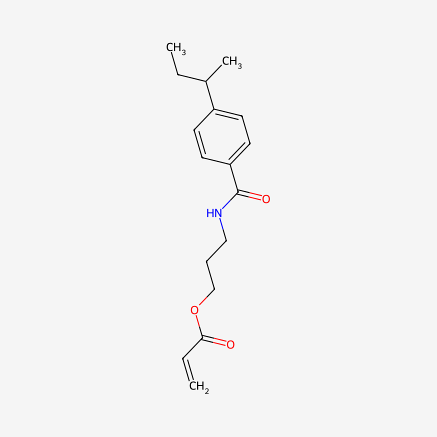 C=CC(=O)OCCCNC(=O)c1ccc(C(C)CC)cc1